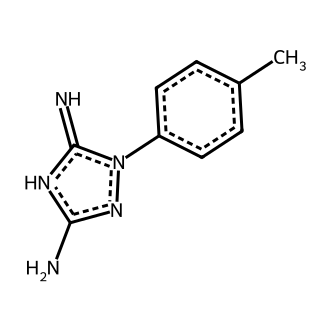 Cc1ccc(-n2nc(N)[nH]c2=N)cc1